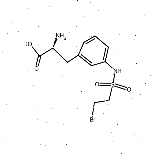 N[C@@H](Cc1cccc(NS(=O)(=O)CCBr)c1)C(=O)O